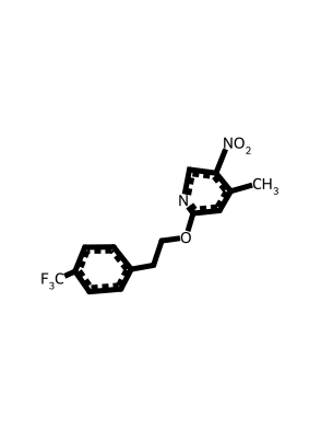 Cc1cc(OCCc2ccc(C(F)(F)F)cc2)ncc1[N+](=O)[O-]